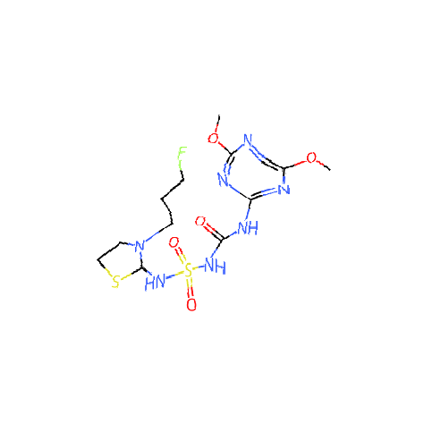 COc1nc(NC(=O)NS(=O)(=O)NC2SCCN2CCCF)nc(OC)n1